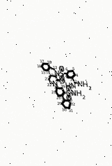 N=C(N)c1cccc(S(=O)(=O)N(Cc2ccccc2)C2CCCN(c3ccc(-c4ccccc4)c(S(N)(=O)=O)c3)C2=O)c1